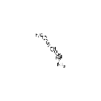 C/C(=N\OCc1ccc(C(F)(F)F)cc1)c1ccc(OCc2nnn(CCN)n2)nc1